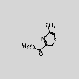 COC(=O)C1=NC(C)=CSC1